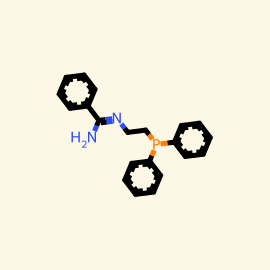 NC(=NCCP(c1ccccc1)c1ccccc1)c1ccccc1